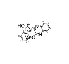 COc1nc2ccccc2nc1N(C(=O)O)c1ccccc1